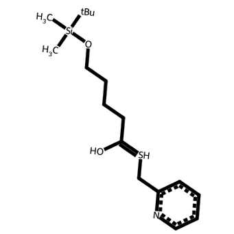 CC(C)(C)[Si](C)(C)OCCCCC(O)=[SH]Cc1ccccn1